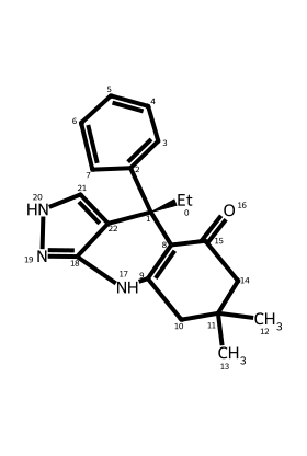 CC[C@@]1(c2ccccc2)C2=C(CC(C)(C)CC2=O)Nc2n[nH]cc21